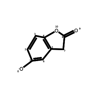 [O]c1ccc2c(c1)CC(=O)O2